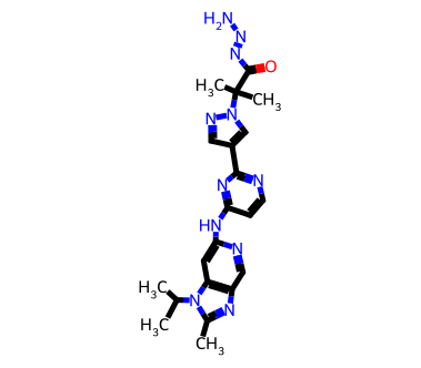 Cc1nc2cnc(Nc3ccnc(-c4cnn(C(C)(C)C(=O)N=NN)c4)n3)cc2n1C(C)C